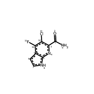 NC(=O)c1nc2[nH]c[c]c2c(F)c1Cl